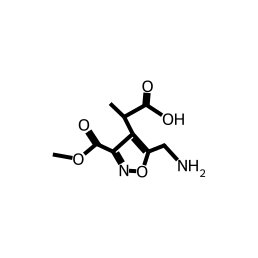 COC(=O)c1noc(CN)c1C(C)C(=O)O